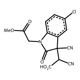 COC(=O)CN1C(=O)C(C#N)(C(C#N)C(=O)O)c2cc(Cl)ccc21